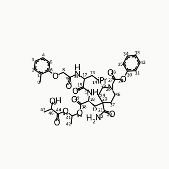 Cc1ccccc1OCC(=O)NC(CC(C)C)C(=O)N[C@@H](CC1(C(N)=O)CCN(C(=O)Oc2ccccc2)CC1)C(=O)OC(C)OC(=O)C(C)O